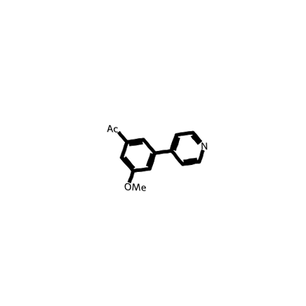 COc1cc(C(C)=O)cc(-c2ccncc2)c1